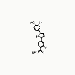 CCc1cc(-c2ccc(-c3ccc(C(=O)OC)c(F)c3)[nH]2)ccc1O